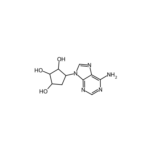 Nc1ncnc2c1ncn2C1CC(O)C(O)C1O